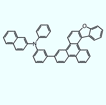 c1ccc(N(c2cccc(-c3ccc4c5ccccc5c5c(ccc6oc7ccccc7c65)c4c3)c2)c2ccc3ccccc3c2)cc1